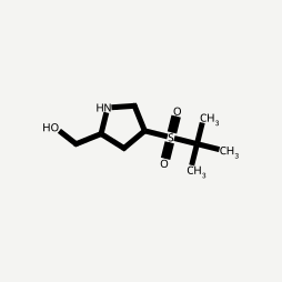 CC(C)(C)S(=O)(=O)C1CNC(CO)C1